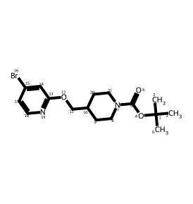 CC(C)(C)OC(=O)N1CCC(COc2cc(Br)ccn2)CC1